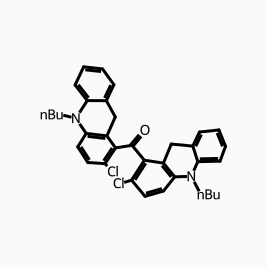 CCCCN1c2ccccc2Cc2c1ccc(Cl)c2C(=O)c1c(Cl)ccc2c1Cc1ccccc1N2CCCC